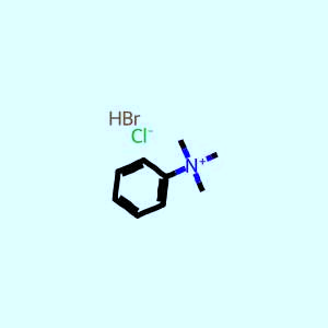 Br.C[N+](C)(C)c1ccccc1.[Cl-]